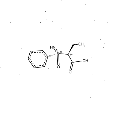 CC[C@@H](C(=O)O)[S@](=N)(=O)c1ccccc1